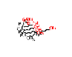 CCCCCO.CCCCCO.CCCCCO.CCCCCO.CCCCCO.CS(=O)(=O)O